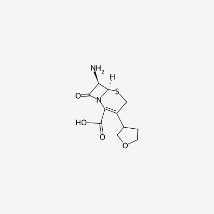 N[C@@H]1C(=O)N2C(C(=O)O)=C(C3CCOC3)CS[C@H]12